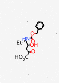 CC[C@H](NC(=O)OCc1ccccc1)[C@H](O)CC(=O)C(=O)O